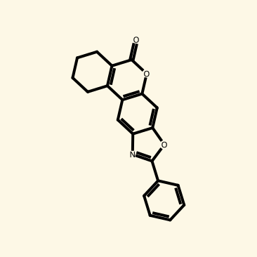 O=c1oc2cc3oc(-c4ccccc4)nc3cc2c2c1CCCC2